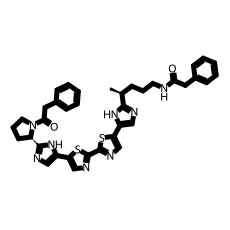 C[C@@H](CCCNC(=O)Cc1ccccc1)c1ncc(-c2cnc(-c3ncc(-c4cnc([C@@H]5CCCN5C(=O)Cc5ccccc5)[nH]4)s3)s2)[nH]1